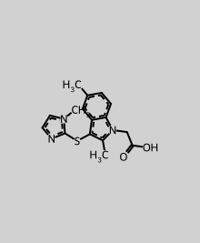 Cc1ccc2c(c1)c(Sc1nccn1C)c(C)n2CC(=O)O